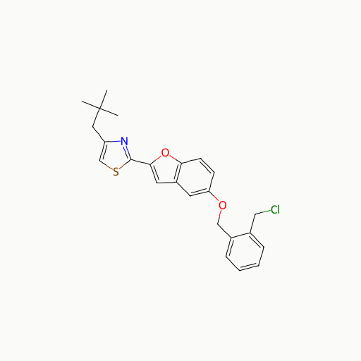 CC(C)(C)Cc1csc(-c2cc3cc(OCc4ccccc4CCl)ccc3o2)n1